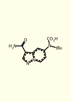 CC(C)(C)N(C(=O)O)c1ccn2ncc(C(N)=O)c2c1